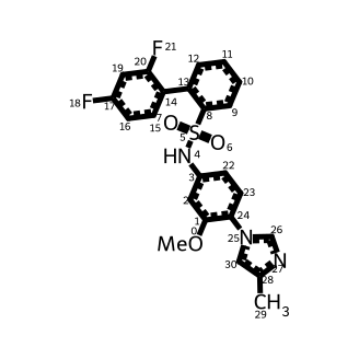 COc1cc(NS(=O)(=O)c2ccccc2-c2ccc(F)cc2F)ccc1-n1cnc(C)c1